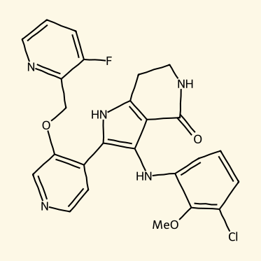 COc1c(Cl)cccc1Nc1c(-c2ccncc2OCc2ncccc2F)[nH]c2c1C(=O)NCC2